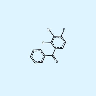 Fc1ccc(C(=S)c2ccccc2)c(F)[c]1[Ti]